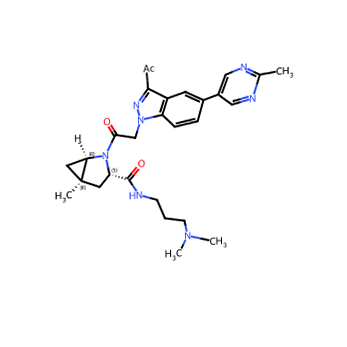 CC(=O)c1nn(CC(=O)N2[C@H](C(=O)NCCCN(C)C)C[C@@]3(C)C[C@@H]23)c2ccc(-c3cnc(C)nc3)cc12